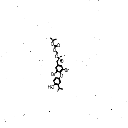 CC(C)OC(=O)OCOP(C)(=O)Cc1cc(Br)c(Oc2ccc(O)c(C(C)C)c2)c(Br)c1